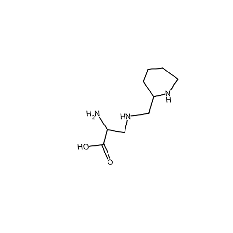 NC(CNCC1CCCCN1)C(=O)O